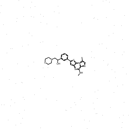 CNc1nc2cc(-c3cccc(C(O)CN4CCOCC4)c3)sc2n2c(C)cnc12